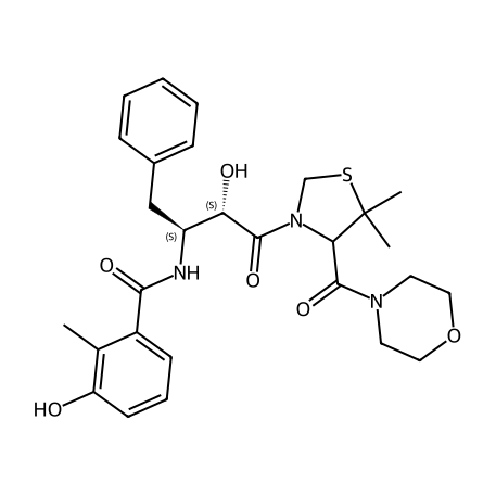 Cc1c(O)cccc1C(=O)N[C@@H](Cc1ccccc1)[C@H](O)C(=O)N1CSC(C)(C)C1C(=O)N1CCOCC1